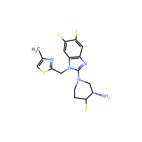 Cc1csc(Cn2c(N3CCC(F)[C@H](N)C3)nc3cc(F)c(F)cc32)n1